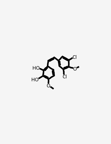 COc1ccc(/C=C\c2cc(Cl)c(OC)c(Cl)c2)c(O)c1O